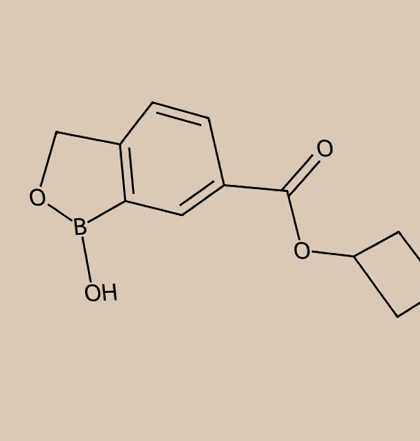 O=C(OC1CCC1)c1ccc2c(c1)B(O)OC2